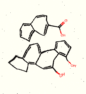 O=C(O)c1ccc2ccccc2c1.Oc1cccc2c1c(O)cc1c3c(ccc12)CCCC3